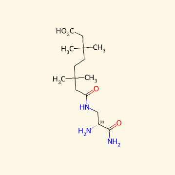 CC(C)(CCC(C)(C)CC(=O)NC[C@@H](N)C(N)=O)CC(=O)O